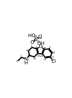 CCNC1CCc2oc3ccc(Cl)cc3c2C1.O=S(=O)(O)O